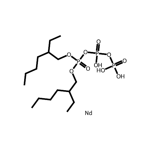 CCCCC(CC)COP(=O)(OCC(CC)CCCC)OP(=O)(O)OP(=O)(O)O.[Nd]